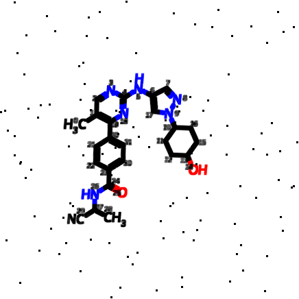 Cc1cnc(Nc2cnn(C3CCC(O)CC3)c2)nc1-c1ccc(C(=O)NC(C)C#N)cc1